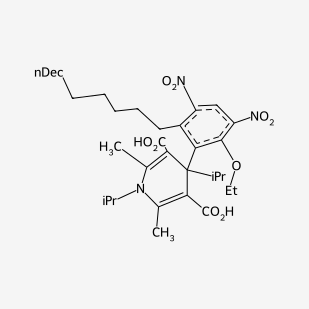 CCCCCCCCCCCCCCCc1c([N+](=O)[O-])cc([N+](=O)[O-])c(OCC)c1C1(C(C)C)C(C(=O)O)=C(C)N(C(C)C)C(C)=C1C(=O)O